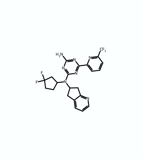 Nc1nc(-c2cccc(C(F)(F)F)n2)nc(N(C2Cc3cccnc3C2)C2CCC(F)(F)C2)n1